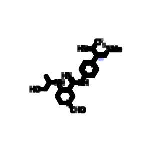 CN/C=C(\C(=N)C(F)(F)F)c1ccc(NC(=N)C2=C(NC(C)CO)CCN(C=O)C2)cc1